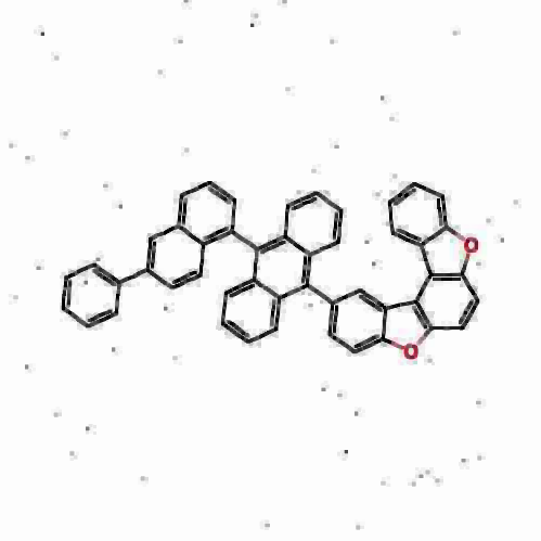 c1ccc(-c2ccc3c(-c4c5ccccc5c(-c5ccc6oc7ccc8oc9ccccc9c8c7c6c5)c5ccccc45)cccc3c2)cc1